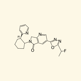 CC(F)c1nnc(-c2cnc3c(c2)C(=O)N(C2CCCC[C@H]2c2ccccn2)C3)o1